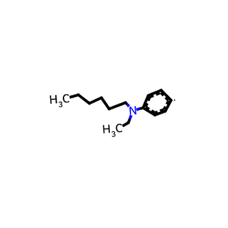 CCCCCCN(CC)c1cc[c]cc1